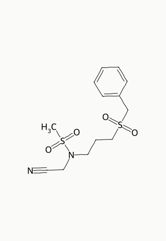 CS(=O)(=O)N(CC#N)CCCS(=O)(=O)Cc1ccccc1